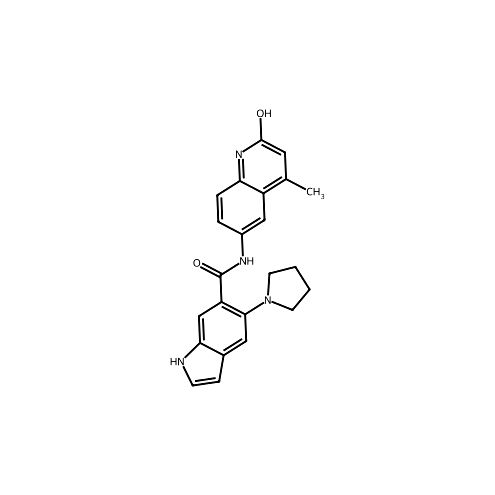 Cc1cc(O)nc2ccc(NC(=O)c3cc4[nH]ccc4cc3N3CCCC3)cc12